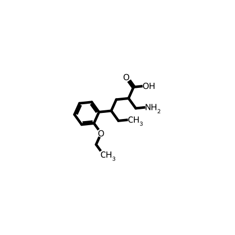 CCOc1ccccc1C(CC)CC(CN)C(=O)O